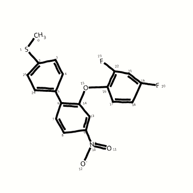 CSc1ccc(-c2ccc([N+](=O)[O-])cc2Oc2ccc(F)cc2F)cc1